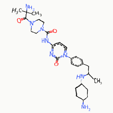 CC(Cc1ccc(-n2ccc(NC(=O)N3CCN(C(=O)C(C)(C)N)CC3)nc2=O)cc1)N[C@H]1CC[C@H](N)CC1